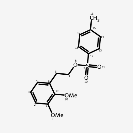 COc1cccc(CCOS(=O)(=O)c2ccc(C)cc2)c1OC